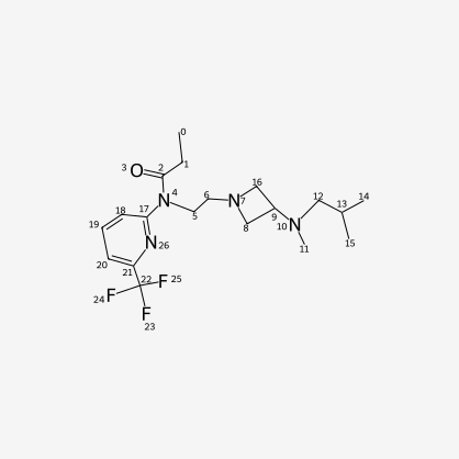 CCC(=O)N(CCN1CC(N(C)CC(C)C)C1)c1cccc(C(F)(F)F)n1